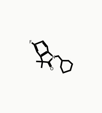 CC1(C)C(=O)N(CC2CCCCC2)c2ccc(F)cc21